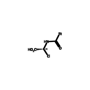 CCC(=O)N[C@H](Cl)C(=O)O